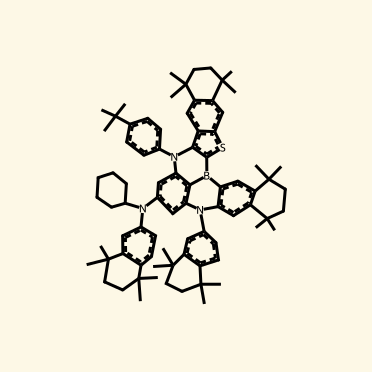 CC(C)(C)c1ccc(N2c3cc(N(c4ccc5c(c4)C(C)(C)CCC5(C)C)C4CCCCC4)cc4c3B(c3cc5c(cc3N4c3ccc4c(c3)C(C)(C)CCC4(C)C)C(C)(C)CCC5(C)C)c3sc4cc5c(cc4c32)C(C)(C)CCC5(C)C)cc1